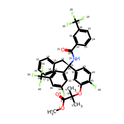 COC(=O)C(C)(C)Oc1cc([C@@](Cc2ccccc2)(NC(=O)c2cccc(C(F)(F)F)c2)c2cc(F)cc(C(F)(F)F)c2)ccc1F